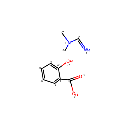 CN(C)C=N.O=C(O)c1ccccc1O